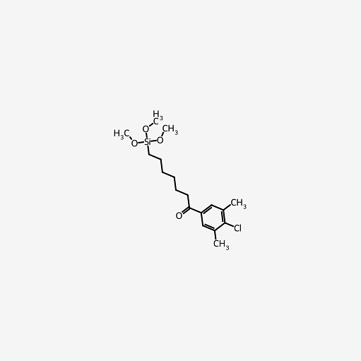 CO[Si](CCCCCCC(=O)c1cc(C)c(Cl)c(C)c1)(OC)OC